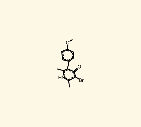 COc1ccc(-c2c(C)[nH]c(C)c(Br)c2=O)cc1